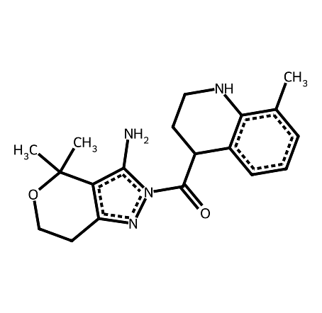 Cc1cccc2c1NCCC2C(=O)n1nc2c(c1N)C(C)(C)OCC2